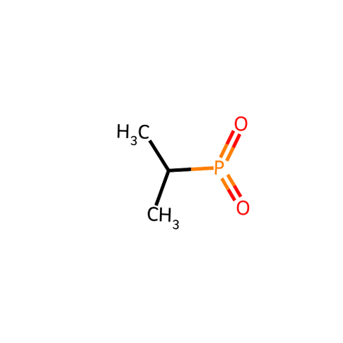 CC(C)P(=O)=O